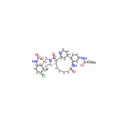 COC(=O)Nc1ccc2c(c1)NC(=O)CCCCC[C@@H](C(=O)N1CC[C@@]3(C1)OC(=O)Nc1ccc(Cl)c(F)c13)c1cc-2ccn1